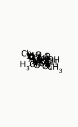 CC(=O)NC1(C(=O)O)CS[C@@H]2C(N(C(C)=O)c3ccc(Cl)cc3)C(=O)N2C1